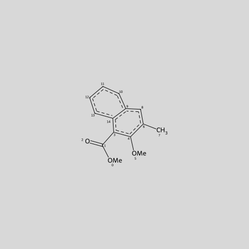 COC(=O)c1c(OC)c(C)cc2ccccc12